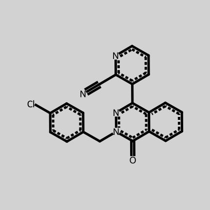 N#Cc1ncccc1-c1nn(Cc2ccc(Cl)cc2)c(=O)c2ccccc12